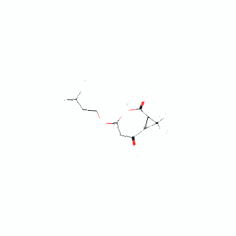 CCCCC(CC)CCO[C]1CC(=O)C2C(C(=O)O1)C2(C)C